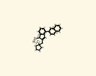 CC1(CC2=Cc3c(-c4ccc5ccccc5c4)cccc3[CH]2[Zr])CCCC1